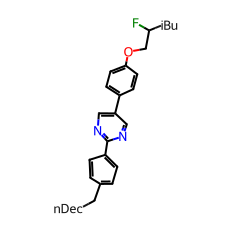 CCCCCCCCCCCc1ccc(-c2ncc(-c3ccc(OCC(F)C(C)CC)cc3)cn2)cc1